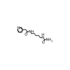 NC(=O)NCCCCCNC(=O)Cc1cccnc1